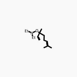 C=CC(C)(CCC=C(C)C)ON(CC)CC